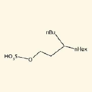 CCCCCCC(CCCC)CCOS(=O)(=O)O